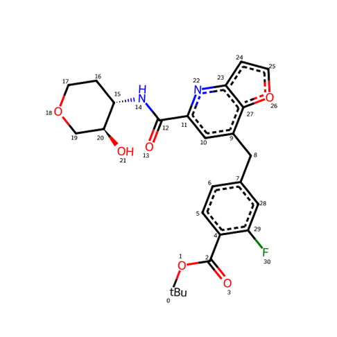 CC(C)(C)OC(=O)c1ccc(Cc2cc(C(=O)N[C@H]3CCOC[C@@H]3O)nc3ccoc23)cc1F